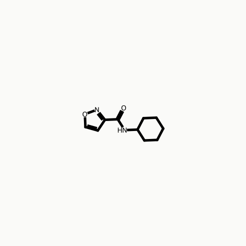 O=C(NC1CCCCC1)c1ccon1